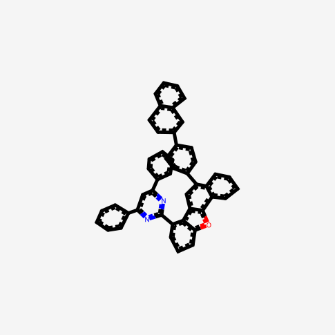 c1ccc(-c2cc(-c3ccccc3)nc(-c3cccc4oc5c6ccccc6c(-c6ccc(-c7ccc8ccccc8c7)cc6)cc5c34)n2)cc1